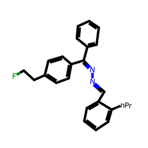 CCCc1ccccc1C=NN=C(c1ccccc1)c1ccc(CCF)cc1